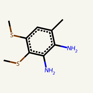 CSc1cc(C)c(N)c(N)c1SC